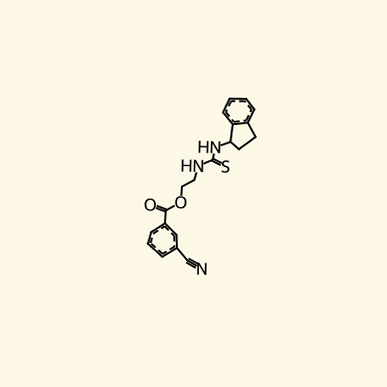 N#Cc1cccc(C(=O)OCCNC(=S)NC2CCc3ccccc32)c1